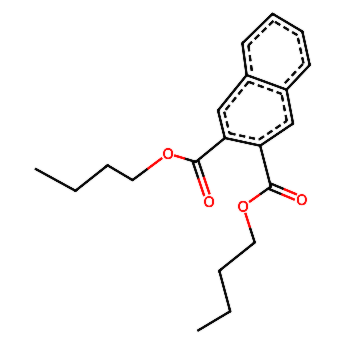 CCCCOC(=O)c1cc2ccccc2cc1C(=O)OCCCC